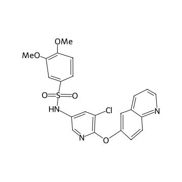 COc1ccc(S(=O)(=O)Nc2cnc(Oc3ccc4ncccc4c3)c(Cl)c2)cc1OC